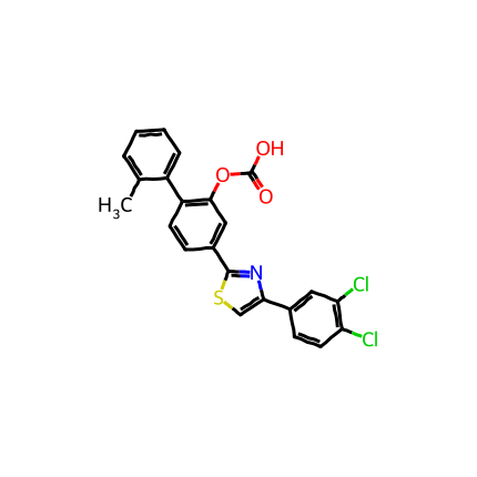 Cc1ccccc1-c1ccc(-c2nc(-c3ccc(Cl)c(Cl)c3)cs2)cc1OC(=O)O